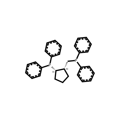 c1ccc(P(C[C@@H]2CCC[C@@H]2P(c2ccccc2)c2ccccc2)c2ccccc2)cc1